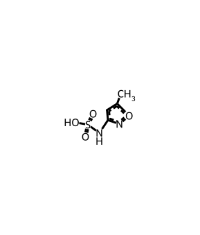 Cc1cc(NS(=O)(=O)O)no1